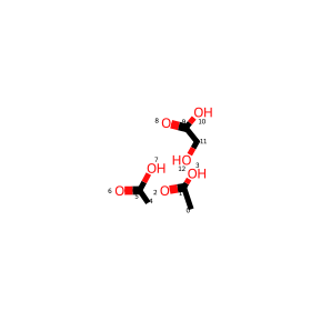 CC(=O)O.CC(=O)O.O=C(O)CO